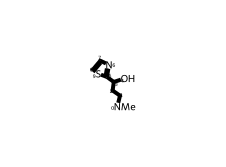 CNCCC(O)c1nccs1